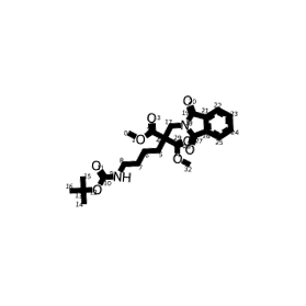 COC(=O)C(CCCCNC(=O)OC(C)(C)C)(CN1C(=O)c2ccccc2C1=O)C(=O)OC